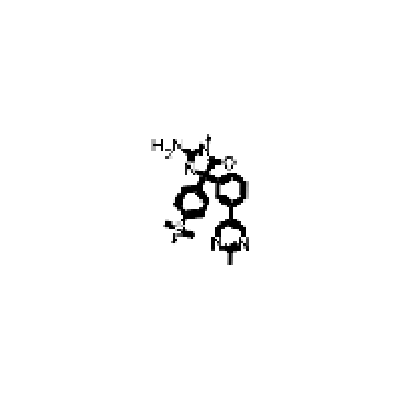 Cc1ncc(-c2cccc(C3(c4ccc([Si](C)(C)C)cc4)N=C(N)N(C)C3=O)c2)cn1